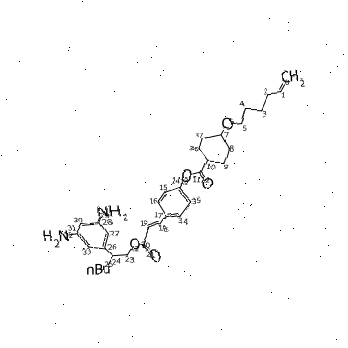 C=CCCCCOC1CCC(C(=O)Oc2ccc(/C=C/C(=O)OCC(CCCC)c3cc(N)cc(N)c3)cc2)CC1